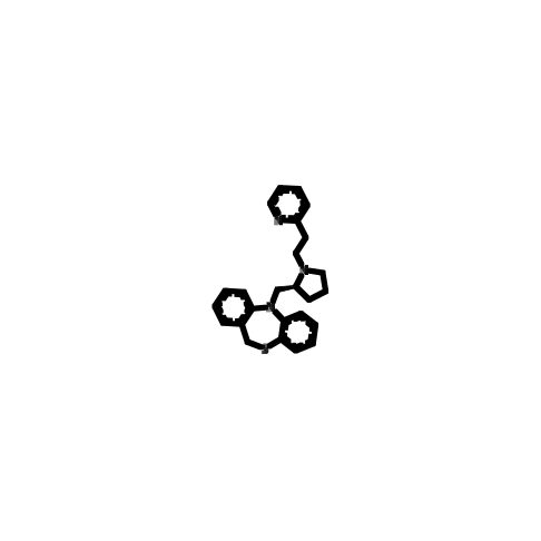 c1ccc(CCN2CCC[C@H]2CN2c3ccccc3CSc3ccccc32)nc1